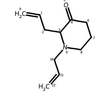 C=CCC1C(=O)CCCN1CC=C